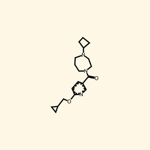 O=C(c1ccc(OCC2CC2)nc1)N1CCCN(C2CCC2)CC1